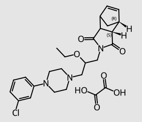 CCOC(CN1CCN(c2cccc(Cl)c2)CC1)CN1C(=O)C2C3C=C[C@@H](C3)[C@@H]2C1=O.O=C(O)C(=O)O